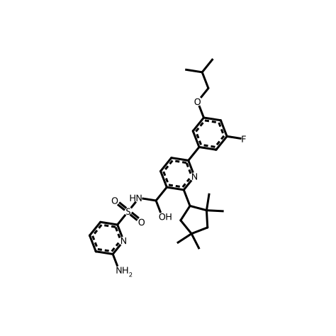 CC(C)COc1cc(F)cc(-c2ccc(C(O)NS(=O)(=O)c3cccc(N)n3)c(C3CC(C)(C)CC3(C)C)n2)c1